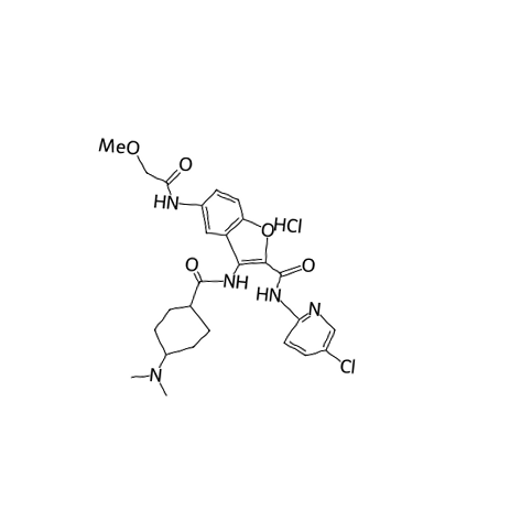 COCC(=O)Nc1ccc2oc(C(=O)Nc3ccc(Cl)cn3)c(NC(=O)C3CCC(N(C)C)CC3)c2c1.Cl